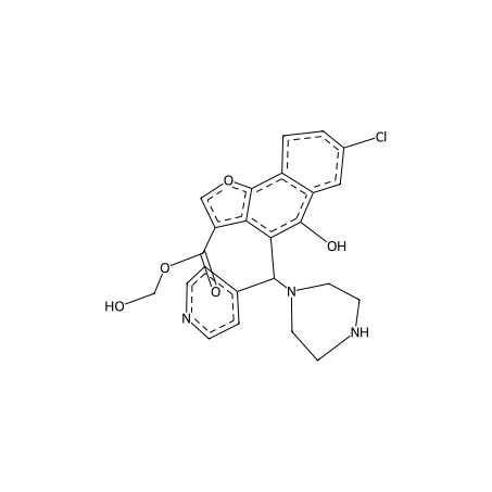 O=C(OCO)c1coc2c1c(C(c1ccncc1)N1CCNCC1)c(O)c1cc(Cl)ccc12